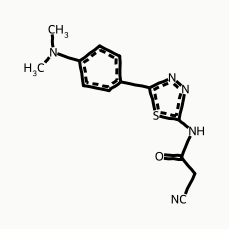 CN(C)c1ccc(-c2nnc(NC(=O)CC#N)s2)cc1